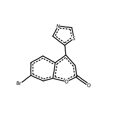 O=c1cc(-c2cncs2)c2ccc(Br)cc2o1